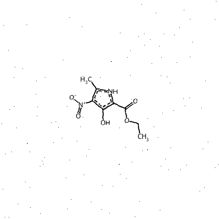 CCOC(=O)c1[nH]c(C)c([N+](=O)[O-])c1O